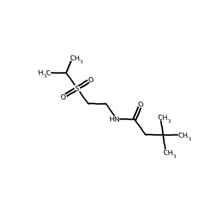 CC(C)S(=O)(=O)CCNC(=O)CC(C)(C)C